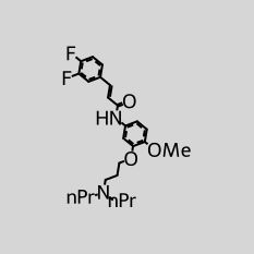 CCCN(CCC)CCCOc1cc(NC(=O)C=Cc2ccc(F)c(F)c2)ccc1OC